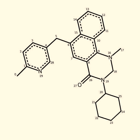 Cc1ccc(Cc2cc3c(c4ccccc24)N(C)CN(C2CCCCC2)C3=O)cn1